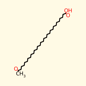 CC(=O)CCCCCCCCCCCCCCCCCCCCCCCCCCCCC(=O)O